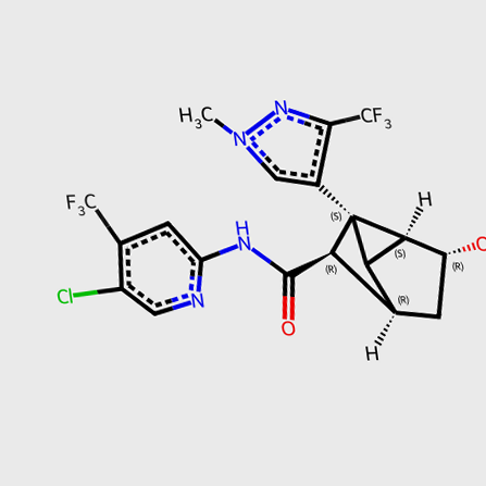 Cn1cc([C@@]23C4[C@@H](C[C@@H](O)[C@@H]42)[C@H]3C(=O)Nc2cc(C(F)(F)F)c(Cl)cn2)c(C(F)(F)F)n1